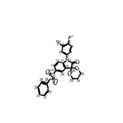 O=C1N(c2ccc(F)c(F)c2)c2ccc(S(=O)(=O)c3ccccc3)cc2C12OCCCO2